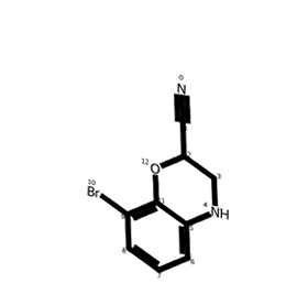 N#CC1CNc2cccc(Br)c2O1